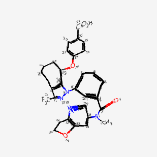 CN(C(=O)c1cccc(-n2nc(C(F)(F)F)c3c2[C@H](Oc2ccc(C(=O)O)cc2)CCC3)c1)c1cnc2c(c1)OCC2